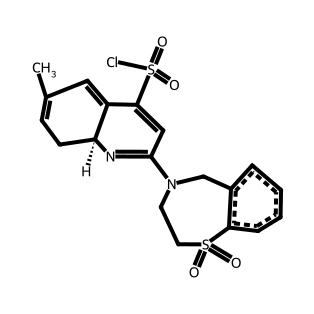 CC1=CC[C@@H]2N=C(N3CCS(=O)(=O)c4ccccc4C3)C=C(S(=O)(=O)Cl)C2=C1